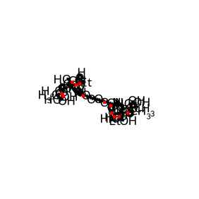 CCNC(=O)[C@H](CC1CCCCC1)OC1C(NC(=O)Cn2cc(COCCOCCOCCOCCOCc3cn(CC(=O)NC4C(O[C@@H](CC5CCCCC5)C(=O)NCC)[C@@H](O)C(CO)O[C@H]4O[C@@H]4CCCC(C)C4O[C@@H]4OC(C)[C@@H](O)C(O)C4O)nn3)nn2)[C@H](O[C@@H]2CCCC(C)C2O[C@@H]2OC(C)[C@@H](O)C(O)C2O)OC(CO)[C@@H]1O